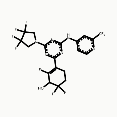 OC1C(F)=C(c2nc(Nc3ccnc(C(F)(F)F)c3)nc(N3CC(F)(F)C(F)(F)C3)n2)CCC1(F)F